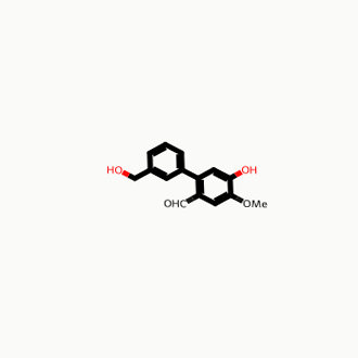 COc1cc(C=O)c(-c2cccc(CO)c2)cc1O